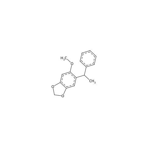 COc1cc2c(cc1C(C)c1ccccc1)OCO2